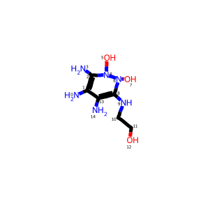 NC1=C(N)N(O)N(O)C(NCCO)=C1N